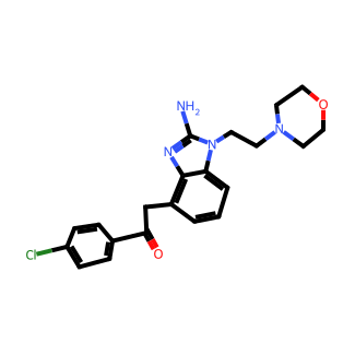 Nc1nc2c(CC(=O)c3ccc(Cl)cc3)cccc2n1CCN1CCOCC1